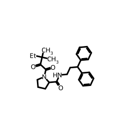 CCC(C)(C)C(=O)C(=O)N1CCCC1C(=O)NCCC(c1ccccc1)c1ccccc1